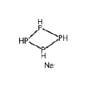 P1PPP1.[Na]